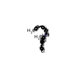 Cc1ccc(OCCc2ccc(CN3CCN(C(=O)/C=C/c4cc(C)c(Oc5ccc(OCc6ccc(Cl)cc6)cn5)c(Cl)c4)CC3)cc2)cc1.Cl